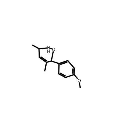 COc1ccc(C2ONC(C)C=C2C)cc1